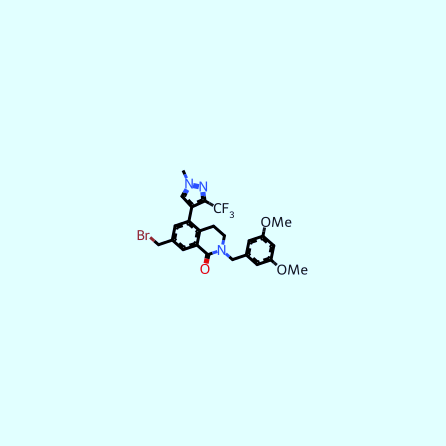 COc1cc(CN2CCc3c(cc(CBr)cc3-c3cn(C)nc3C(F)(F)F)C2=O)cc(OC)c1